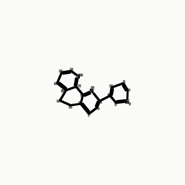 c1cncc(-c2ccc3c(n2)-c2ncccc2CC3)c1